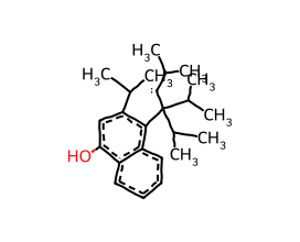 CC(C)[C]C(c1c(C(C)C)cc(O)c2ccccc12)(C(C)C)C(C)C